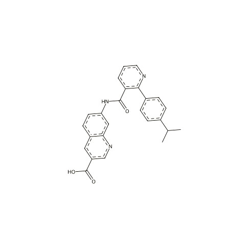 CC(C)c1ccc(-c2ncccc2C(=O)Nc2ccc3cc(C(=O)O)cnc3c2)cc1